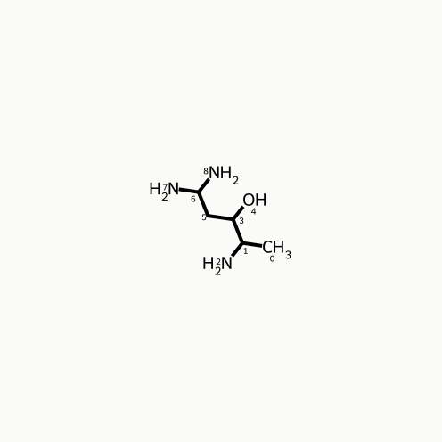 CC(N)C(O)CC(N)N